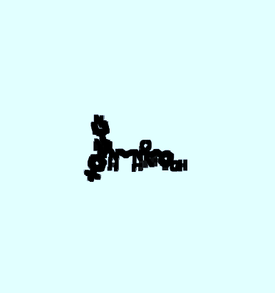 CC(C)(C)c1ccc(-n2nc(-c3ccncc3)cc2NCCCNC(=O)C(N)Cc2ccc(O)cc2)cc1